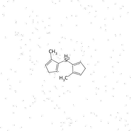 CC1=CC[C]=C1[SiH2]C1=[C]CC=C1C